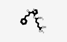 C=C(O)CCCC(N)Oc1ccsc1C(=O)CCc1ccccc1